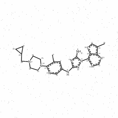 Cc1cc(Nc2nc(N)n(-c3ncnc4c(C)csc34)n2)cnc1N1CCN(CC2CC2)CC1